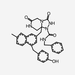 Cc1ccc2c(Cc3ccc(O)cc3)cc(CC34CNC(=O)CN3C(=O)NN4C(=O)NCc3ccccc3)cc2c1